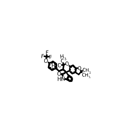 CC1(C)Cc2cc3c(cc2O1)OC(C)(C)C(Cc1ccc(OC(F)(F)F)cc1)C31C(=O)Nc2ccccc21